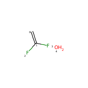 C=C(F)F.O